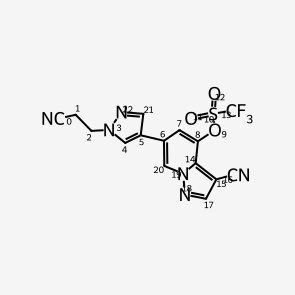 N#CCCn1cc(-c2cc(OS(=O)(=O)C(F)(F)F)c3c(C#N)cnn3c2)cn1